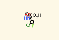 CC(C)(C)OC(=O)N[C@H](CC(=O)O)c1ccc(F)c(Cl)c1